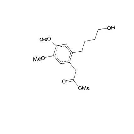 COC(=O)Cc1cc(OC)c(OC)cc1CCCCO